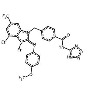 CCc1cc(C(F)(F)F)cc2c1n(CC)c(=Nc1ccc(OC(F)(F)F)cc1)n2Cc1ccc(C(=O)Nc2nnn[nH]2)cc1